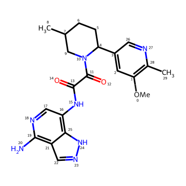 COc1cc(C2CCC(C)CN2C(=O)C(=O)Nc2cnc(N)c3cn[nH]c23)cnc1C